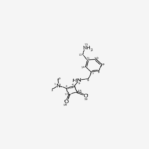 CN(C)c1c(NCc2cccc(CN)c2)c(=O)c1=O